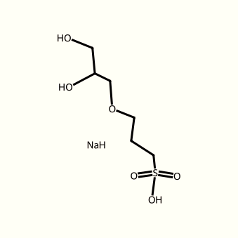 O=S(=O)(O)CCCOCC(O)CO.[NaH]